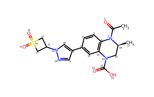 CC(=O)N1c2ccc(-c3cnn(C4CS(=O)(=O)C4)c3)cc2N(C(=O)O)C[C@@H]1C